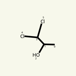 CC(O)C(Cl)Cl